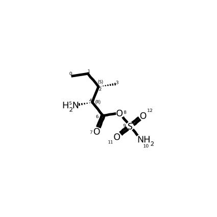 CC[C@H](C)[C@@H](N)C(=O)OS(N)(=O)=O